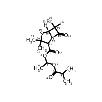 CC(OC(=O)C(C)C)OC(=O)[C@@H]1N2C(=O)C(Br)(I)[C@H]2SC1(C)C